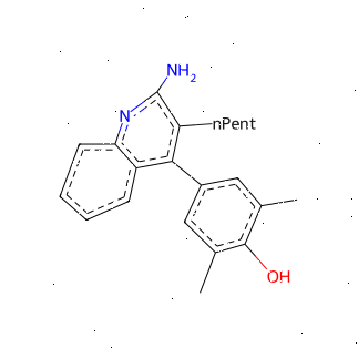 CCCCCc1c(N)nc2ccccc2c1-c1cc(C)c(O)c(C)c1